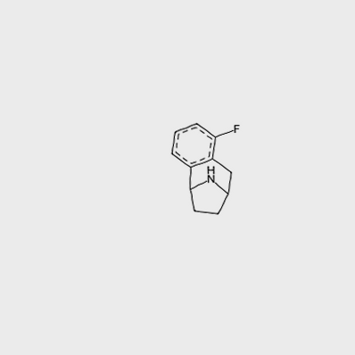 Fc1cccc2c1CC1CCC2N1